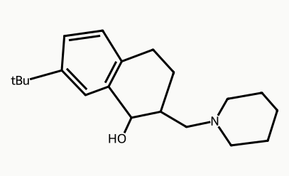 CC(C)(C)c1ccc2c(c1)C(O)C(CN1CCCCC1)CC2